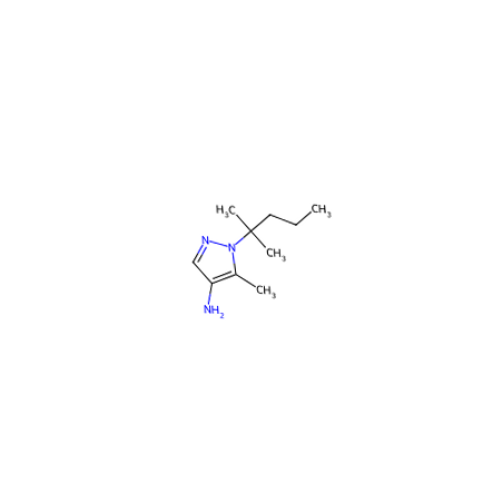 CCCC(C)(C)n1ncc(N)c1C